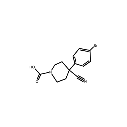 N#CC1(c2ccc(Br)cc2)CCN(C(=O)O)CC1